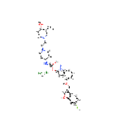 C[C@H]1CN(CCN2CCC(NC(=O)Oc3cc4c(OCc5coc6cc(F)ccc56)cccc4[nH]3)CC2)CC[C@@H]1O.Cl.Cl